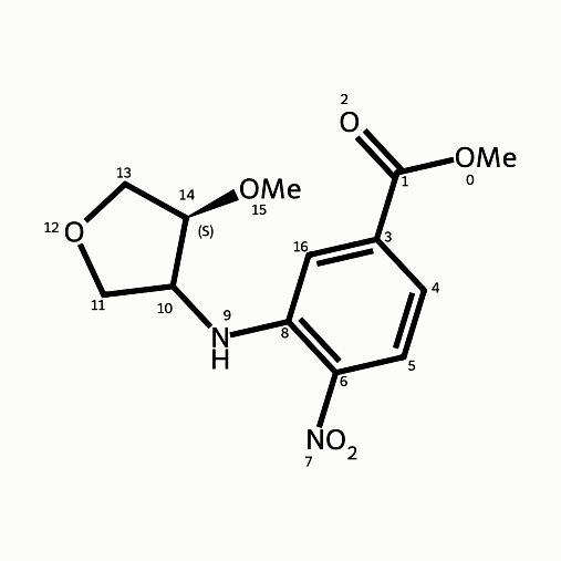 COC(=O)c1ccc([N+](=O)[O-])c(NC2COC[C@H]2OC)c1